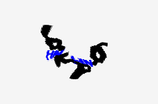 C=Cc1ccc(CNC2CCCC2CCC(C)(C)NCc2ccc(C=C)cc2)cc1